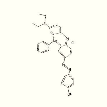 CCN(CC)c1ccc2nc3ccc(/N=N/c4ccc(O)cc4)cc3[n+](-c3ccccc3)c2c1.[Cl-]